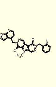 Cn1c2cnn(Cc3ccccc3F)c(=O)c2c2cnn(Cc3ccnc4[nH]ncc34)c(=O)c21